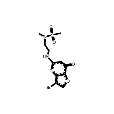 CN(CCNc1cc(=O)c2occ(Br)c2o1)S(C)(=O)=O